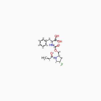 C=CC(=O)N1C[C@@H](F)C[C@@H]1COC(=O)NC(Cc1ccccc1)B(O)O